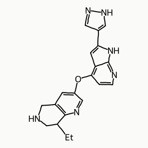 CCC1CNCc2cc(Oc3ccnc4[nH]c(-c5cn[nH]c5)cc34)cnc21